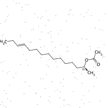 CCC=CCCCCCCCCC[C@H](C)OC(C)=O